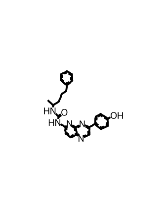 CC(CCCc1ccccc1)NC(=O)Nc1ccc2ncc(-c3ccc(O)cc3)nc2n1